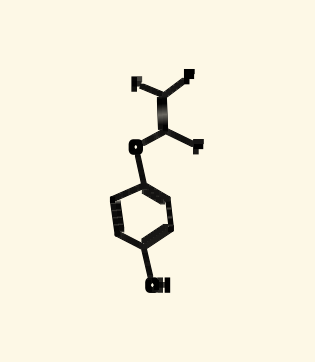 Oc1ccc(OC(F)=C(F)F)cc1